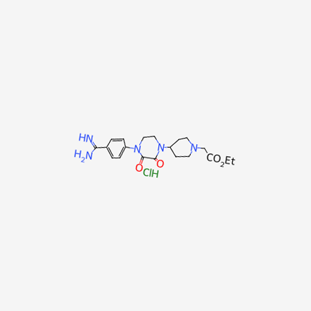 CCOC(=O)CN1CCC(N2CCN(c3ccc(C(=N)N)cc3)C(=O)C2=O)CC1.Cl